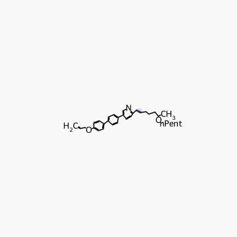 C=CCOc1ccc(-c2ccc(-c3ccc(/C=C/CCCC(C)OCCCCC)nc3)cc2)cc1